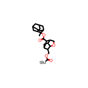 CC(C)(C)C(=O)OCC1C2CC3C(COC31)C2C(=O)OC1(C)C2CC3CC(C2)CC1C3